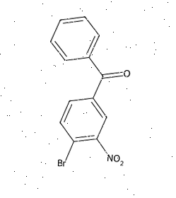 O=C(c1ccccc1)c1ccc(Br)c([N+](=O)[O-])c1